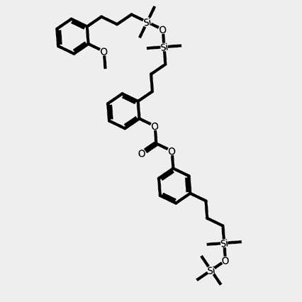 COc1ccccc1CCC[Si](C)(C)O[Si](C)(C)CCCc1ccccc1OC(=O)Oc1cccc(CCC[Si](C)(C)O[Si](C)(C)C)c1